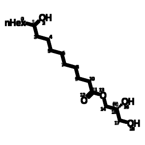 CCCCCCC(O)CCCCCCCCC(=O)OC[C@H](O)CO